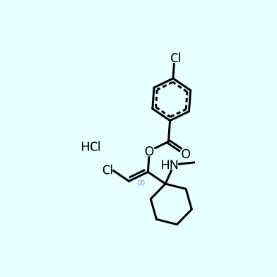 CNC1(/C(=C/Cl)OC(=O)c2ccc(Cl)cc2)CCCCC1.Cl